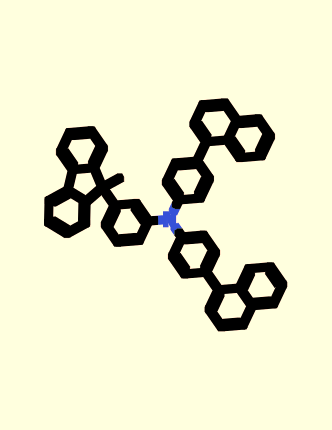 CC1(c2cccc(N(c3ccc(-c4cccc5ccccc45)cc3)c3ccc(-c4cccc5ccccc45)cc3)c2)c2ccccc2-c2ccccc21